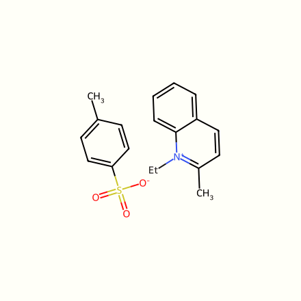 CC[n+]1c(C)ccc2ccccc21.Cc1ccc(S(=O)(=O)[O-])cc1